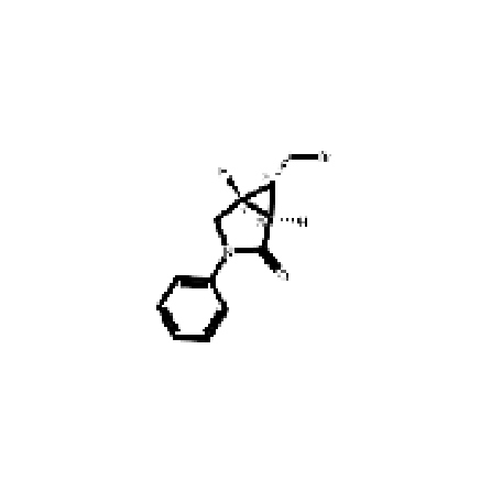 O=C1[C@H]2[C@H](CN1c1ccccc1)[C@@H]2CBr